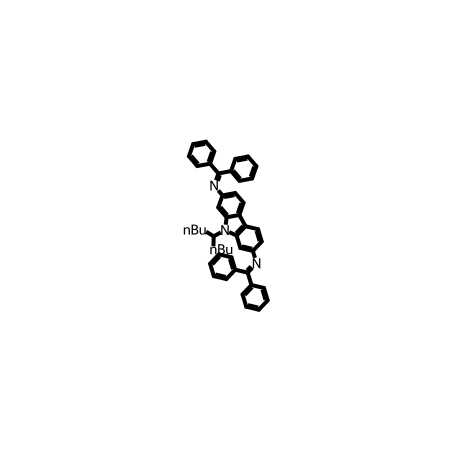 CCCCC(CCCC)n1c2cc(N=C(c3ccccc3)c3ccccc3)ccc2c2ccc(N=C(c3ccccc3)c3ccccc3)cc21